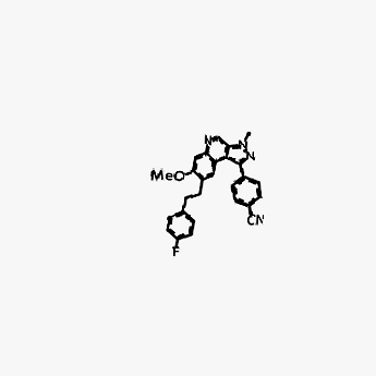 COc1cc2ncc3c(c(-c4ccc(C#N)cc4)nn3C)c2cc1CCc1ccc(F)cc1